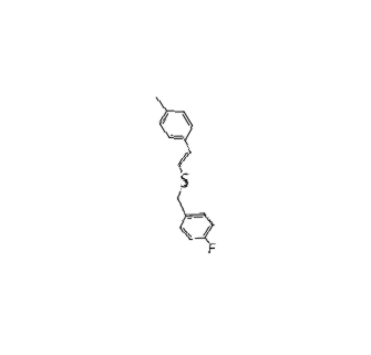 Cc1ccc(C=CSCc2ccc(F)cc2)cc1